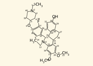 CCN1CCC(Oc2ccc(CN(CC)c3cc(OC)c(OC)cc3C3CCc4cc(O)ccc4C3)cc2F)CC1